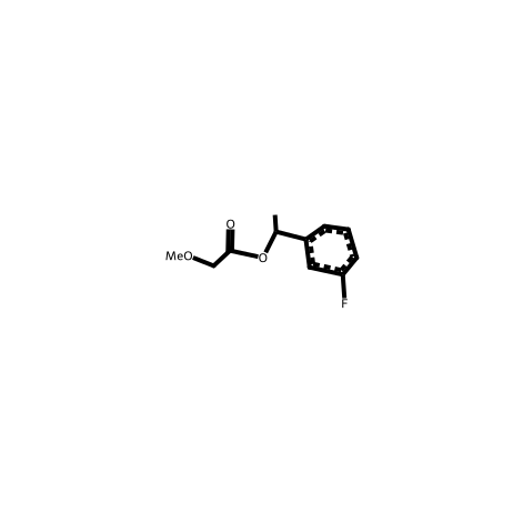 COCC(=O)OC(C)c1cccc(F)c1